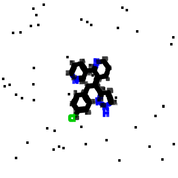 Clc1ccc(CC(=C2CCCN=C2c2cccnc2)c2cc[nH]n2)cc1